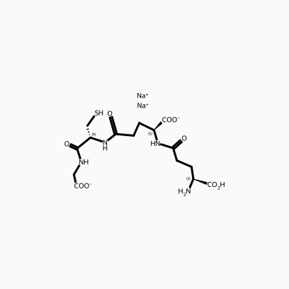 N[C@@H](CCC(=O)N[C@@H](CCC(=O)N[C@@H](CS)C(=O)NCC(=O)[O-])C(=O)[O-])C(=O)O.[Na+].[Na+]